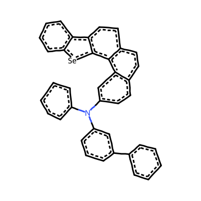 c1ccc(-c2cccc(N(c3ccccc3)c3ccc4ccc5ccc6c7ccccc7[se]c6c5c4c3)c2)cc1